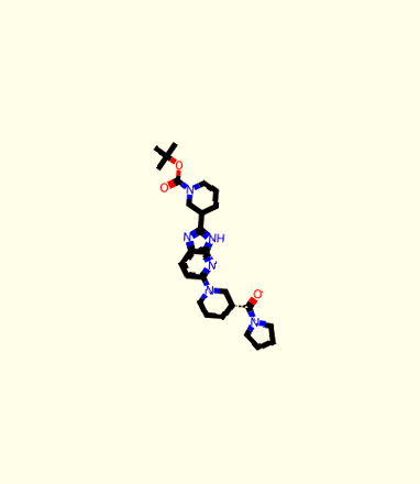 CC(C)(C)OC(=O)N1CCCC(c2nc3ccc(N4CCC[C@@H](C(=O)N5CCCC5)C4)nc3[nH]2)C1